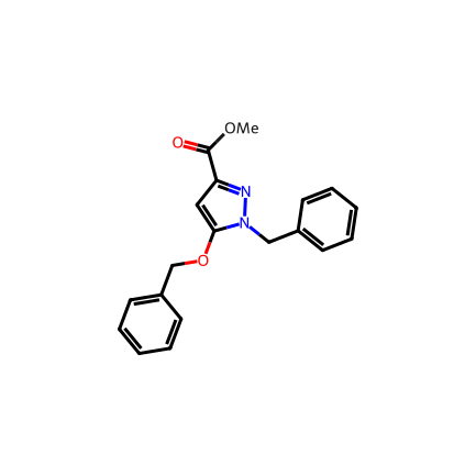 COC(=O)c1cc(OCc2ccccc2)n(Cc2ccccc2)n1